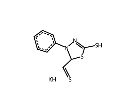 S=CC1SC(S)=NN1c1ccccc1.[KH]